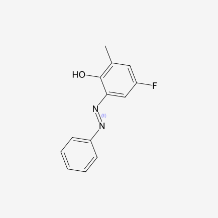 Cc1cc(F)cc(/N=N/c2ccccc2)c1O